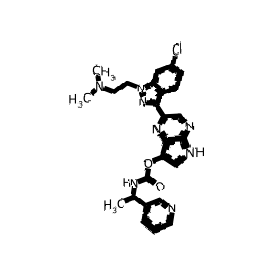 CC(NC(=O)Oc1c[nH]c2ncc(-c3nn(CCN(C)C)c4cc(Cl)ccc34)nc12)c1cccnc1